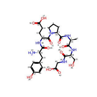 C[C@H](NC(=O)[C@@H]1CCCN1C(=O)[C@H](CCC(=O)O)NC(=O)[C@@H](N)Cc1ccc(O)cc1)C(=O)N[C@@H](CO)C(=O)NCC(=O)O